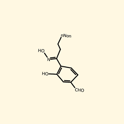 CCCCCCCCCCCC(=NO)c1ccc(C=O)cc1O